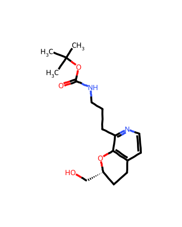 CC(C)(C)OC(=O)NCCCc1nccc2c1O[C@@H](CO)CC2